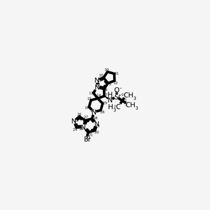 CC(C)(C)[S+]([O-])N[C@@H]1c2c3c(nn2CC12CCN(c1ncc(Br)n4cncc14)CC2)CCC3